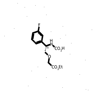 CCOC(=O)COC[C@@H](NC(=O)O)c1cccc(F)c1